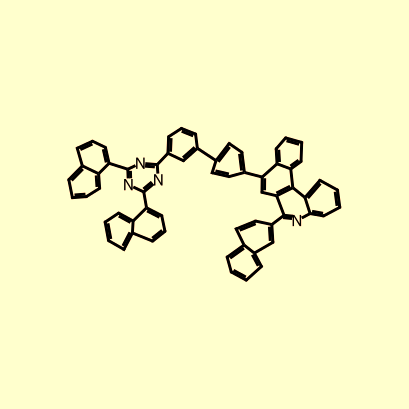 c1cc(-c2ccc(-c3cc4c(-c5ccc6ccccc6c5)nc5ccccc5c4c4ccccc34)cc2)cc(-c2nc(-c3cccc4ccccc34)nc(-c3cccc4ccccc34)n2)c1